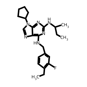 CCc1ccc(CNc2nc(NC(C)CC)nc3c2ncn3C2CCCC2)cc1F